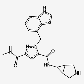 CNC(=O)c1cc(C(=O)NC2C3CNCC32)n(Cc2cccc3[nH]ccc23)n1